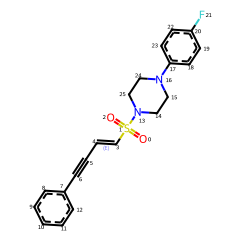 O=S(=O)(/C=C/C#Cc1ccccc1)N1CCN(c2ccc(F)cc2)CC1